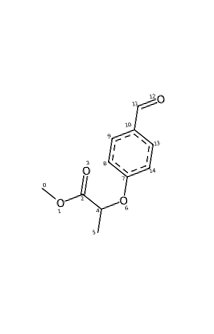 COC(=O)C(C)Oc1ccc(C=O)cc1